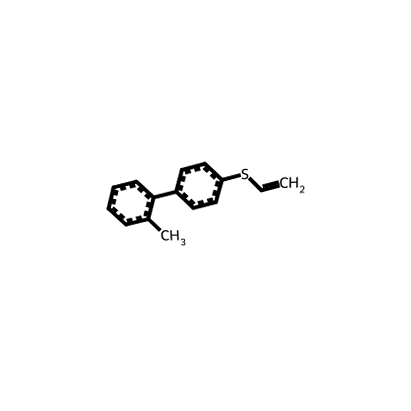 C=CSc1ccc(-c2ccccc2C)cc1